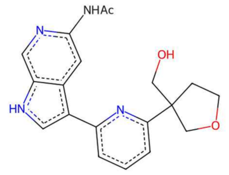 CC(=O)Nc1cc2c(-c3cccc(C4(CO)CCOC4)n3)c[nH]c2cn1